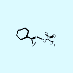 N#CC(=NOS(=O)(=O)C(F)(F)F)C1CCCCC1